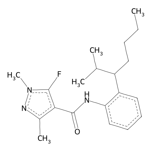 CCCCC(c1ccccc1NC(=O)c1c(C)nn(C)c1F)C(C)C